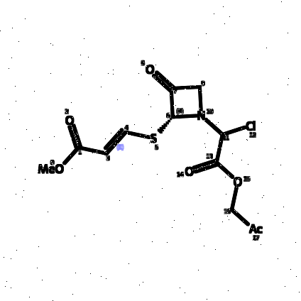 COC(=O)/C=C/S[C@@H]1C(=O)CN1C(Cl)C(=O)OCC(C)=O